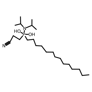 CCCCCCCCCCCCCCP(O)(O)(CCC#N)N(C(C)C)C(C)C